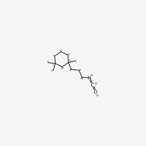 CC1(C)CCCC(C)(CCCN=C=O)C1